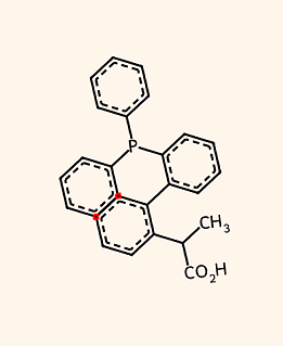 CC(C(=O)O)c1ccccc1-c1ccccc1P(c1ccccc1)c1ccccc1